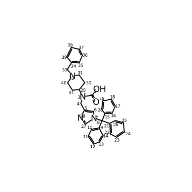 O=C(O)N(Cc1cn(C(c2ccccc2)(c2ccccc2)c2ccccc2)cn1)C1CCN(Cc2ccccc2)CC1